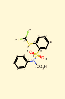 O=C(O)N(c1ccccc1)S(=O)(=O)c1ccccc1SC(F)F